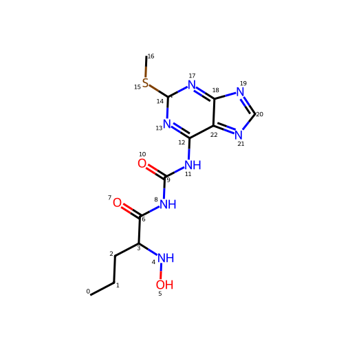 CCCC(NO)C(=O)NC(=O)NC1=N[C](SC)N=C2N=CN=C21